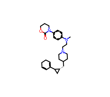 CN(CCN1CCC(C[C@@H]2CC2C2=CCCC=C2)CC1)c1ccc(N2CCCOC2=O)cc1